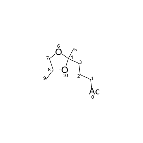 CC(=O)CCCC1(C)OCC(C)O1